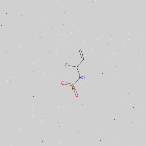 C=CC(F)N[SH](=O)=O